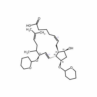 CC(C)=CCC(C)[C@@H](/C=C/[C@@H]1[C@@H](C/C=C\CCCC(=O)O)[C@@H](O)C[C@H]1OC1CCCCO1)OC1CCCCO1